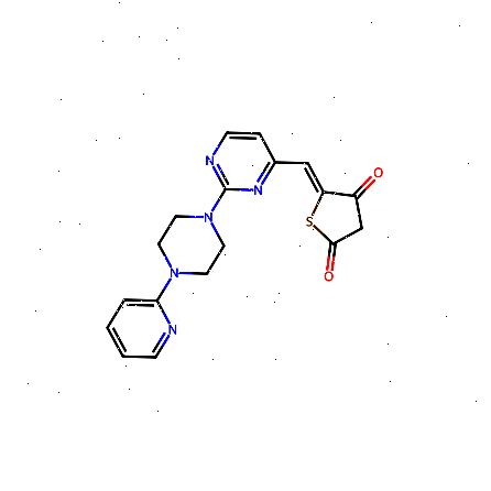 O=C1CC(=O)C(=Cc2ccnc(N3CCN(c4ccccn4)CC3)n2)S1